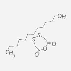 CCCCCCCCCCCCO.O=C1CSSCC(=O)O1